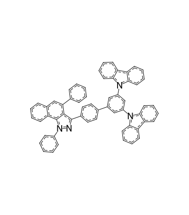 c1ccc(-c2cc3ccccc3c3c2c(-c2ccc(-c4cc(-n5c6ccccc6c6ccccc65)cc(-n5c6ccccc6c6ccccc65)c4)cc2)nn3-c2ccccc2)cc1